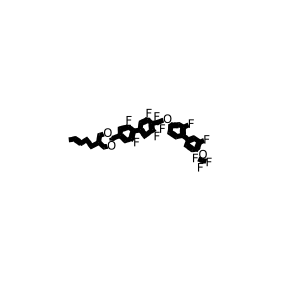 C/C=C/CCC1COC(c2cc(F)c(-c3cc(F)c(C(F)(F)Oc4ccc(-c5ccc(OC(F)(F)F)c(F)c5)c(F)c4)c(F)c3)c(F)c2)OC1